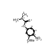 COc1cc(OC(=S)N(C)C)ccc1[N+](=O)[O-]